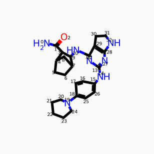 NC(=O)C1C2CCC(C2)C1Nc1nc(Nc2ccc(N3CCCCC3)cc2)nc2c1CCN2